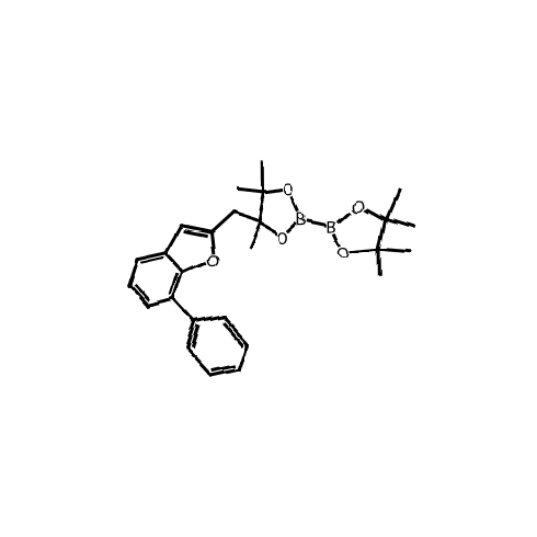 CC1(C)OB(B2OC(C)(C)C(C)(Cc3cc4cccc(-c5ccccc5)c4o3)O2)OC1(C)C